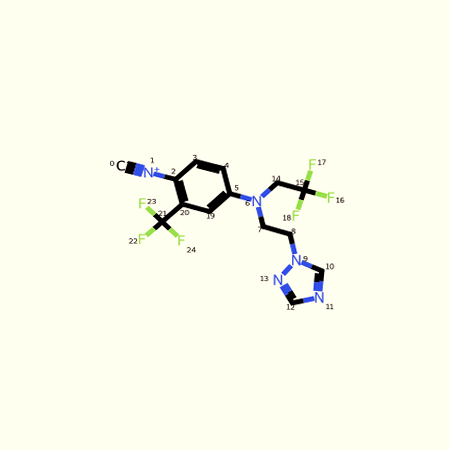 [C-]#[N+]c1ccc(N(CCn2cncn2)CC(F)(F)F)cc1C(F)(F)F